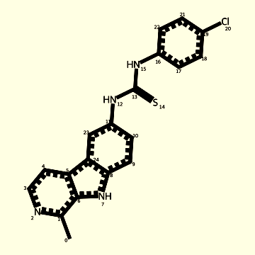 Cc1nccc2c1[nH]c1ccc(NC(=S)Nc3ccc(Cl)cc3)cc12